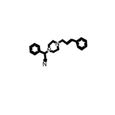 N#CC(c1ccccc1)N1CCN(CC=Cc2ccccc2)CC1